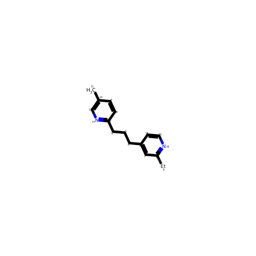 CCc1cc(CCCc2ccc(C)cn2)ccn1